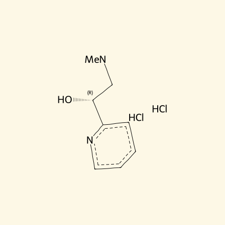 CNC[C@@H](O)c1ccccn1.Cl.Cl